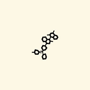 Cc1ccc(N(c2ccccc2)c2ccc(-c3cc(C)c(-c4c(C)cc(C)c5ccccc45)c4ccccc34)cc2)cc1